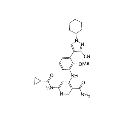 COc1c(Nc2cc(NC(=O)C3CC3)ncc2C(N)=O)cccc1-c1cn(C2CCCCC2)nc1C#N